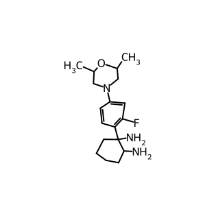 CC1CN(c2ccc(C3(N)CCCCC3N)c(F)c2)CC(C)O1